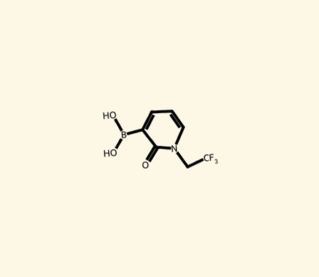 O=c1c(B(O)O)cccn1CC(F)(F)F